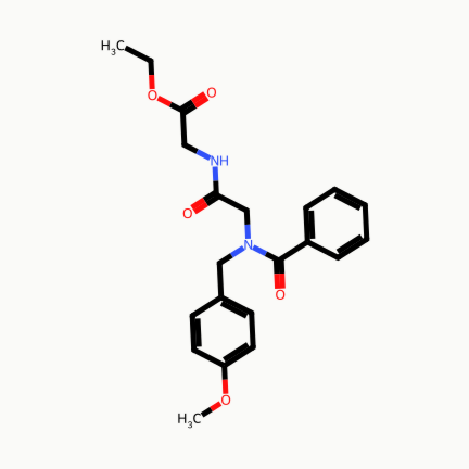 CCOC(=O)CNC(=O)CN(Cc1ccc(OC)cc1)C(=O)c1ccccc1